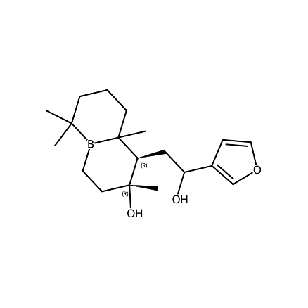 CC1(C)CCCC2(C)B1CC[C@@](C)(O)[C@@H]2CC(O)c1ccoc1